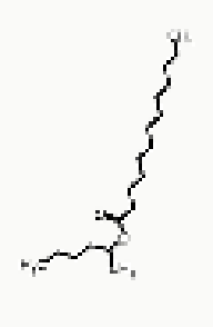 CCCCCCCCCCCCC(=O)OC(C)CCCC